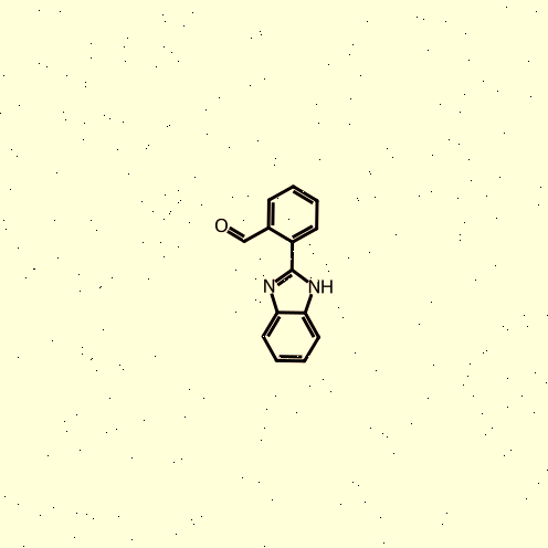 O=Cc1ccccc1-c1nc2ccccc2[nH]1